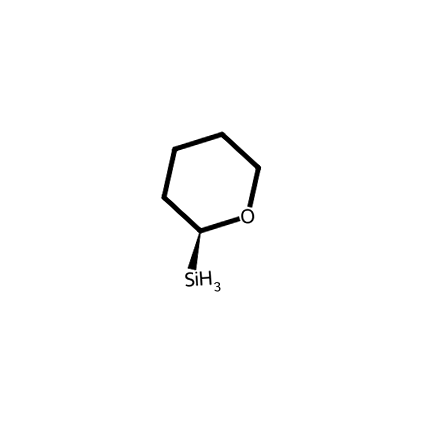 [SiH3][C@H]1CCCCO1